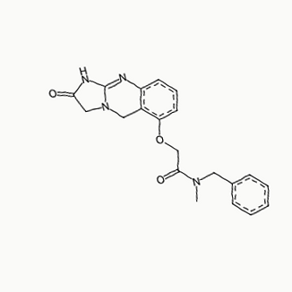 CN(Cc1ccccc1)C(=O)COc1cccc2c1CN1CC(=O)NC1=N2